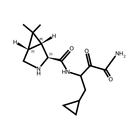 CC1(C)[C@@H]2[C@@H](C(=O)NC(CC3CC3)C(=O)C(N)=O)NC[C@@H]21